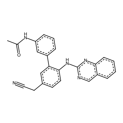 CC(=O)Nc1cccc(-c2cc(CC#N)ccc2Nc2ncc3ccccc3n2)c1